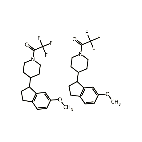 COc1ccc2c(c1)C(C1CCN(C(=O)C(F)(F)F)CC1)CC2.COc1ccc2c(c1)C(C1CCN(C(=O)C(F)(F)F)CC1)CC2